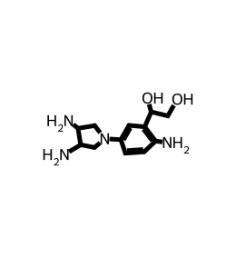 Nc1ccc(N2CC(N)C(N)C2)cc1C(O)CO